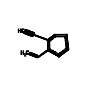 C#Cc1ccc[c]c1C=C